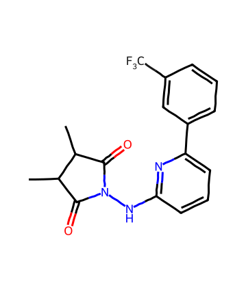 CC1C(=O)N(Nc2cccc(-c3cccc(C(F)(F)F)c3)n2)C(=O)C1C